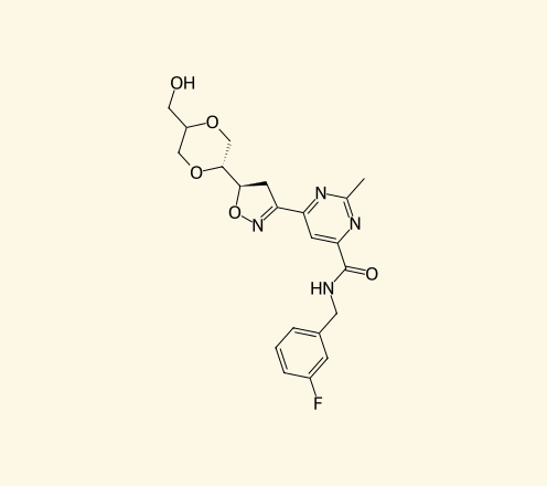 Cc1nc(C(=O)NCc2cccc(F)c2)cc(C2=NO[C@@H]([C@H]3COC(CO)CO3)C2)n1